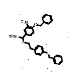 CCCCCC(NCCc1ccc(OCc2ccccc2)cc1)c1ccc(OCc2ccccc2)c([N+](=O)[O-])c1